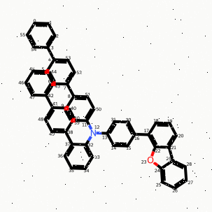 c1ccc(-c2ccc(-c3ccc(N(c4ccc(-c5cccc6c5oc5ccccc56)cc4)c4ccccc4-c4ccc(-c5ccccc5)cc4)cc3)cc2)cc1